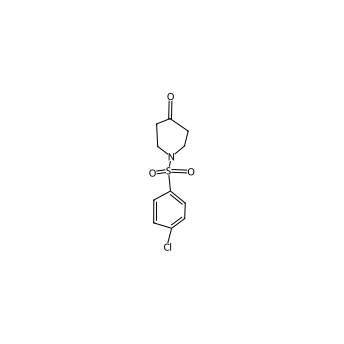 O=C1CCN(S(=O)(=O)c2ccc(Cl)cc2)CC1